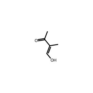 CC(=O)/C(C)=C/O